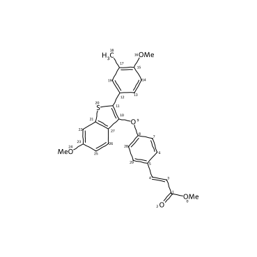 COC(=O)/C=C/c1ccc(Oc2c(-c3ccc(OC)c(C)c3)sc3cc(OC)ccc23)cc1